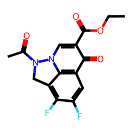 CCOC(=O)c1cn2c3c(c(F)c(F)cc3c1=O)CN2C(C)=O